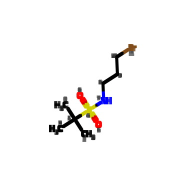 CC(C)(C)S(=O)(=O)NCCCBr